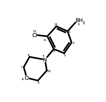 Bc1ccc(N2CCOCC2)c(Cl)c1